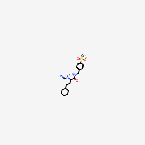 CS(=O)(=O)c1ccc(CNC(=O)C(CCC2CCCCC2)NC=N)cc1